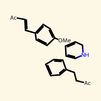 C1=CCNC=C1.CC(=O)CCc1ccccc1.COc1ccc(C=CC(C)=O)cc1